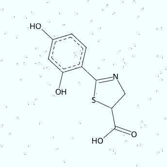 O=C(O)C1CN=C(c2ccc(O)cc2O)S1